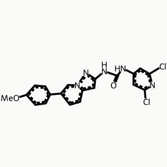 COc1ccc(-c2ccc3cc(NC(=O)Nc4cc(Cl)nc(Cl)c4)nn3c2)cc1